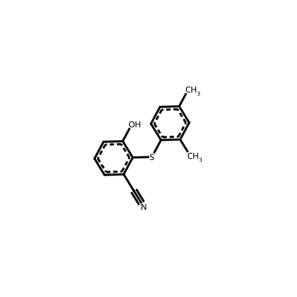 Cc1ccc(Sc2c(O)cccc2C#N)c(C)c1